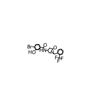 O=C(NC1CC(=O)N(Cc2ccccc2C(F)(F)F)C1)c1ccc(Br)c(O)c1